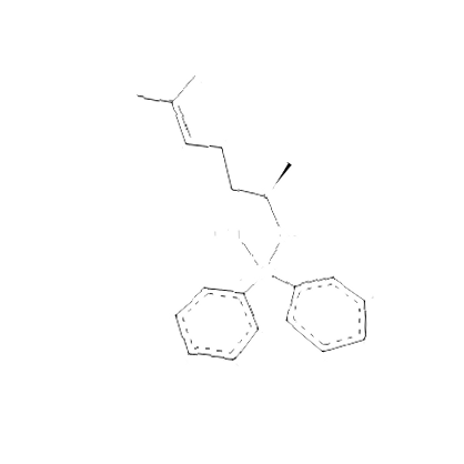 CC(C)=CCC[C@@H](C)O[Si](c1ccccc1)(c1ccccc1)C(C)(C)C